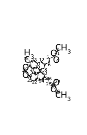 CCOC(=O)/C=C/c1ccc2c(c1)=C[C@@H](C)C1OCOc3ccc4cc(CCC(=O)OCC)ccc4c3C=21